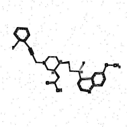 COc1ccc2nccc([C@@H](F)CC[C@@H]3CCN(CC#Cc4ccccc4F)C[C@@H]3CC(=O)O)c2c1